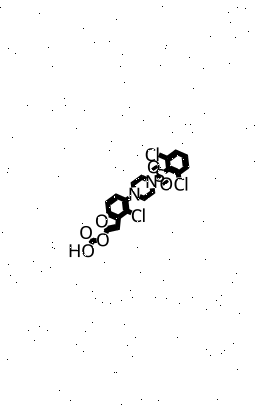 O=C(O)Oc1cc2c(Cl)c(N3CCN(S(=O)(=O)c4c(Cl)cccc4Cl)CC3)ccc2o1